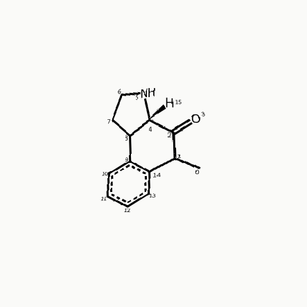 CC1C(=O)[C@H]2NCCC2c2ccccc21